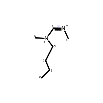 CCCCN(C)/C=N\C